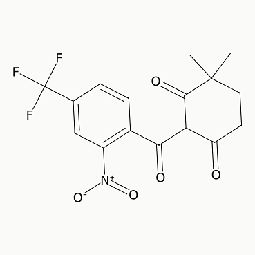 CC1(C)CCC(=O)C(C(=O)c2ccc(C(F)(F)F)cc2[N+](=O)[O-])C1=O